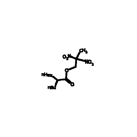 CCCCCCC(CCCC)C(=O)OCC(C)([N+](=O)[O-])[N+](=O)[O-]